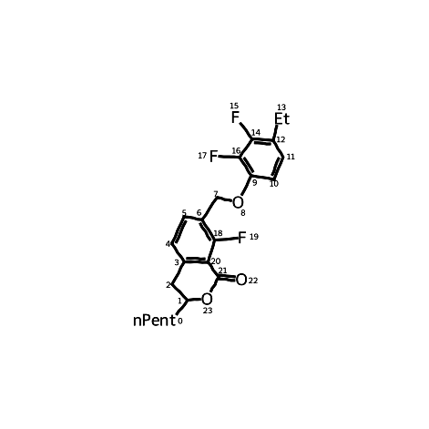 CCCCCC1Cc2ccc(COc3ccc(CC)c(F)c3F)c(F)c2C(=O)O1